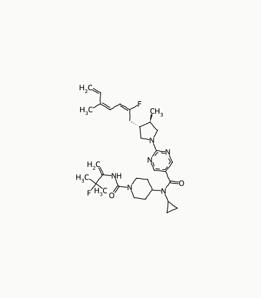 C=C/C(C)=C\C=C(\F)C[C@H]1CN(c2ncc(C(=O)N(C3CC3)C3CCN(C(=O)NC(=C)C(C)(C)F)CC3)cn2)C[C@@H]1C